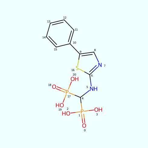 O=P(O)(O)C(Nc1ncc(-c2ccccc2)s1)P(=O)(O)O